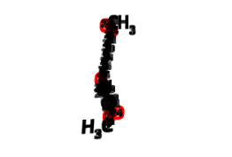 CCOC(=O)c1ccc(-c2ccc(OCCCCCCCCCCOC(C)=O)cc2)cc1